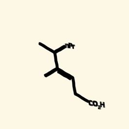 CCCC(C)C(C)=CCC(=O)O